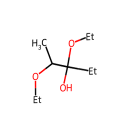 CCOC(C)C(O)(CC)OCC